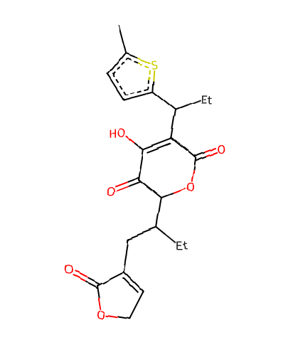 CCC(C1=C(O)C(=O)C(C(CC)CC2=CCOC2=O)OC1=O)c1ccc(C)s1